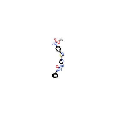 CC(C)OC(=O)NC1CCC(c2ncc(-c3ccc(NC(=O)NCc4ccccc4)cn3)s2)CC1